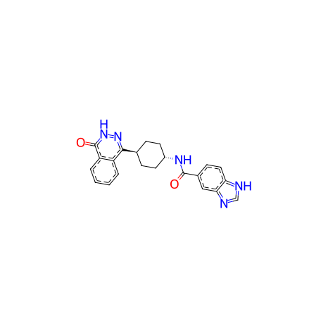 O=C(N[C@H]1CC[C@H](c2n[nH]c(=O)c3ccccc32)CC1)c1ccc2[nH]cnc2c1